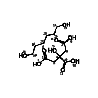 O=C(O)CC(O)(CC(=O)O)C(=O)O.OCCCCCCO